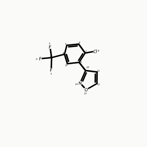 FC(F)(F)c1ccc(Cl)c(-c2ccon2)c1